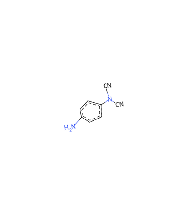 N#CN(C#N)c1ccc(N)cc1